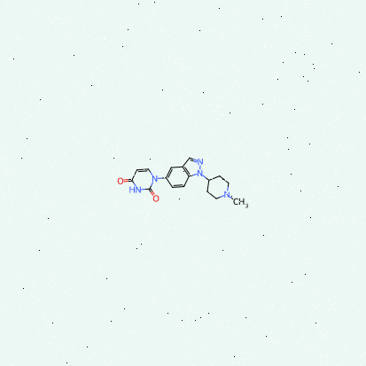 CN1CCC(n2ncc3cc(-n4ccc(=O)[nH]c4=O)ccc32)CC1